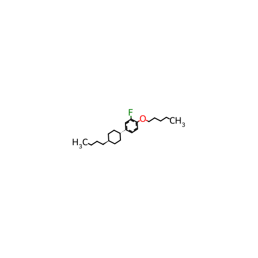 CCCCCOc1ccc([C@H]2CC[C@H](CCCC)CC2)cc1F